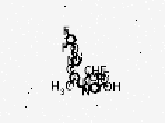 C[C@@H](Cn1c(CN2CC[C@H](Oc3ccnc(COc4ccc(F)cc4F)n3)C[C@@H]2C)nc2ccc(C(=O)O)cc21)OCC(F)(F)F